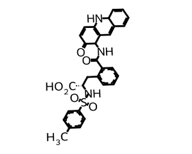 Cc1ccc(S(=O)(=O)N[C@@H](Cc2ccccc2C(=O)NC2C(=O)C=CC3=C2C=C2C=CC=CC2N3)C(=O)O)cc1